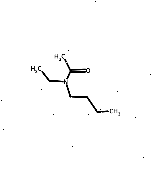 CCCCN(CC)C(C)=O